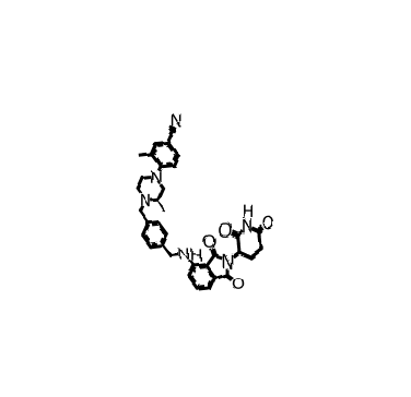 Cc1cc(C#N)ccc1N1CCN(Cc2ccc(CNc3cccc4c3C(=O)N(C3CCC(=O)NC3=O)C4=O)cc2)[C@H](C)C1